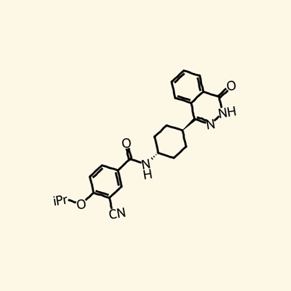 CC(C)Oc1ccc(C(=O)N[C@H]2CC[C@H](c3n[nH]c(=O)c4ccccc43)CC2)cc1C#N